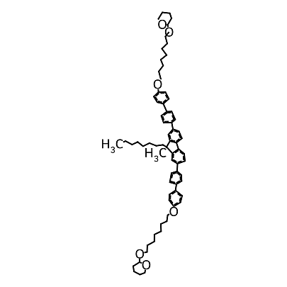 CCCCCCCCC1(C)c2cc(-c3ccc(-c4ccc(OCCCCCCCCOC5CCCCO5)cc4)cc3)ccc2-c2ccc(-c3ccc(-c4ccc(OCCCCCCCCOC5CCCCO5)cc4)cc3)cc21